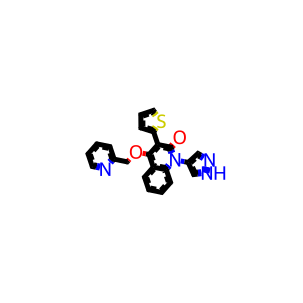 O=c1c(-c2cccs2)c(OCc2ccccn2)c2ccccc2n1-c1cn[nH]c1